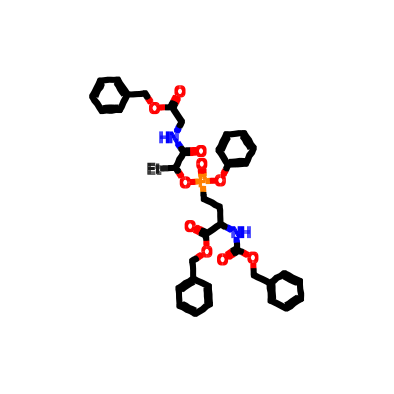 CCC(OP(=O)(CCC(NC(=O)OCc1ccccc1)C(=O)OCc1ccccc1)Oc1ccccc1)C(=O)NCC(=O)OCc1ccccc1